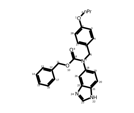 CCCOc1ccc(CN(C(=O)OCc2ccccc2)c2ccc3[nH]cnc3c2)cc1